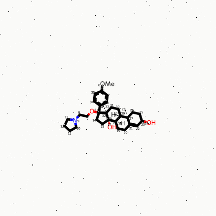 COc1ccc(C2(OCCN3CCCC3)CC[C@@]3(O)[C@@H]4CCC5=CC(O)CC[C@]5(C)[C@@H]4CC[C@]23C)cc1